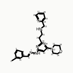 Cc1cccc(/C=N/Nc2cc(N3CCOCC3)nc(CCNCc3ccccn3)n2)c1